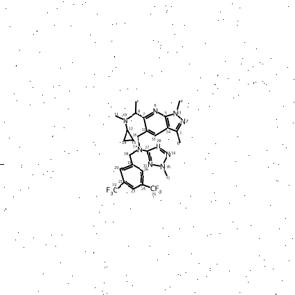 Cc1nn(C)c2nc(C(C)N(C)C3CC3)c(CN(Cc3cc(C(F)(F)F)cc(C(F)(F)F)c3)c3nnn(C)n3)cc12